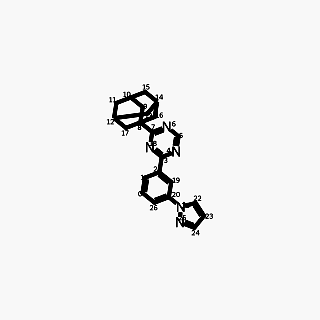 c1cc(-c2ncnc(C34CC5CC(CC(C5)C3)C4)n2)cc(-n2cccn2)c1